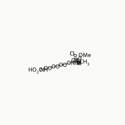 COc1ccc2c(c1)C(c1ccc(Cl)cc1)=N[C@@H](CC(=O)NCCOCCOCCOCCOCCOCCOCCOCCNC(=O)O)c1nnc(C)n1-2